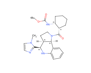 [CH2]n1ccnc1[C@@H]1Nc2ccccc2[C@H]2[C@@H]1CCN2C(=O)[C@H]1CCCC[C@H]1NC(=O)OC(C)(C)C